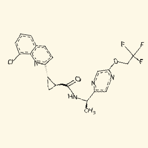 C[C@@H](NC(=O)[C@H]1C[C@@H]1c1ccc2cccc(Cl)c2n1)c1cnc(OCC(F)(F)F)cn1